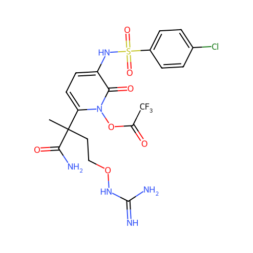 CC(CCONC(=N)N)(C(N)=O)c1ccc(NS(=O)(=O)c2ccc(Cl)cc2)c(=O)n1OC(=O)C(F)(F)F